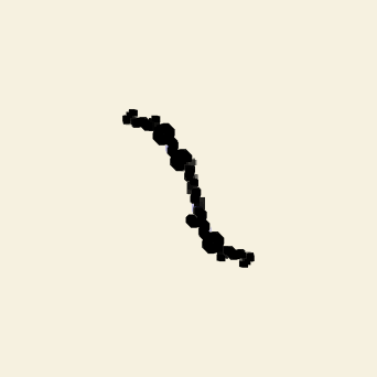 C=CC(/C=C/c1ccc(N(C)CCCN(C)C)cc1)=C\C=N\CCSSCC[n+]1ccc(/C=C/c2ccc(N(C)CCCN(C)C)cc2)cc1